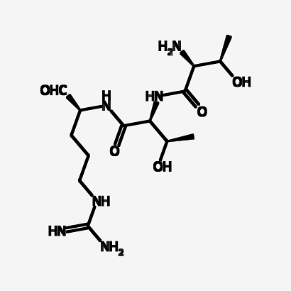 C[C@@H](O)[C@H](N)C(=O)N[C@H](C(=O)N[C@H](C=O)CCCNC(=N)N)[C@@H](C)O